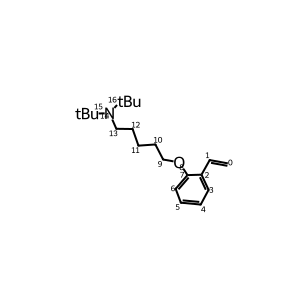 C=Cc1ccccc1OCCCCCN(C(C)(C)C)C(C)(C)C